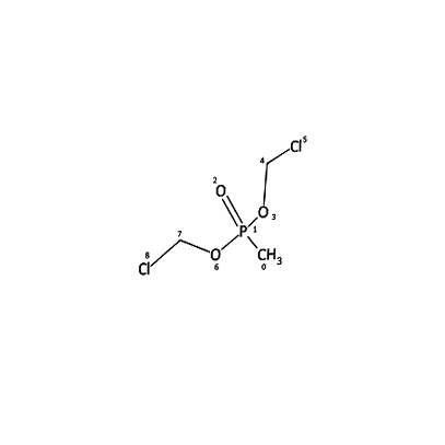 CP(=O)(OCCl)OCCl